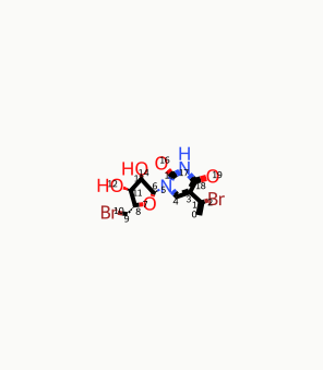 C=C(Br)c1cn([C@@H]2O[C@H](CBr)[C@@H](O)[C@H]2O)c(=O)[nH]c1=O